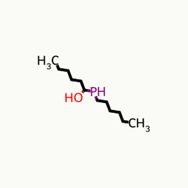 CCCCCCPC(O)CCCCC